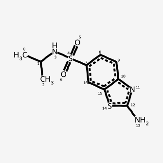 CC(C)NS(=O)(=O)c1ccc2nc(N)sc2c1